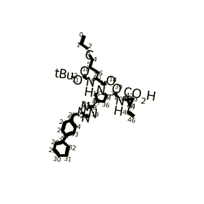 C=CCCCCC[C@H](NC(=O)OC(C)(C)C)C(=O)N1C[C@H](c2nnn(Cc3ccc(-c4ccccc4)cc3)n2)C[C@H]1C(=O)N[C@@]1(C(=O)O)C[C@H]1C=C